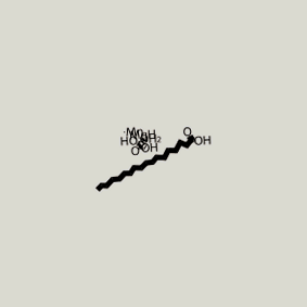 CCCCCCCCCCCCCCCCCC(=O)O.O=P(O)(O)O.[MgH2].[Mn]